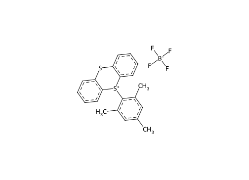 Cc1cc(C)c([S+]2c3ccccc3Sc3ccccc32)c(C)c1.F[B-](F)(F)F